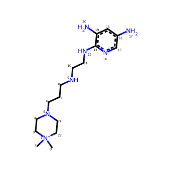 C[N+]1(C)CCN(CCCNCCNc2ncc(N)cc2N)CC1